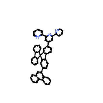 c1ccc(-c2cc(-c3ccc4c(c3)C3(c5ccccc5-c5ccccc53)c3cc(-c5cc6ccccc6c6ccccc56)ccc3-4)cc(-c3ccccn3)n2)nc1